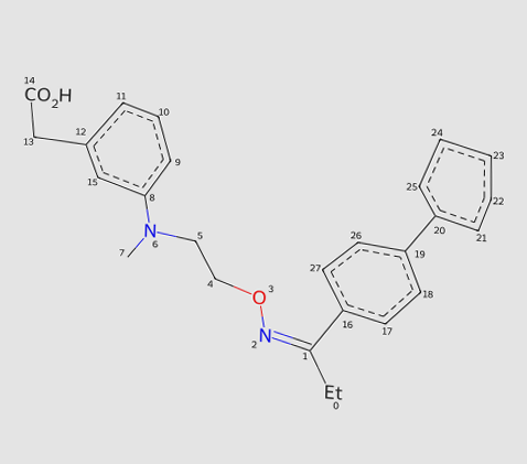 CCC(=NOCCN(C)c1cccc(CC(=O)O)c1)c1ccc(-c2ccccc2)cc1